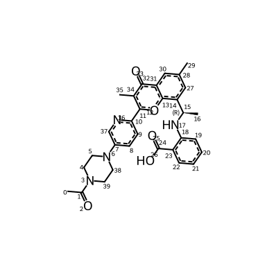 CC(=O)N1CCN(c2ccc(-c3oc4c([C@@H](C)Nc5ccccc5C(=O)O)cc(C)cc4c(=O)c3C)nc2)CC1